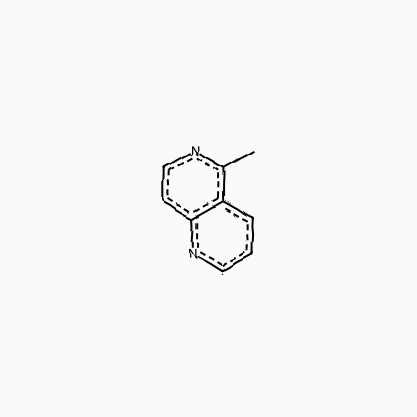 Cc1nccc2n[c]ccc12